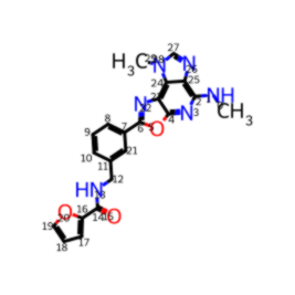 CNc1nc2oc(-c3cccc(CNC(=O)c4ccco4)c3)nc2c2c1ncn2C